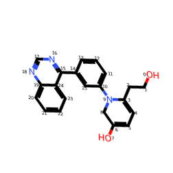 OCCC1=CC=C(O)CN1c1cccc(-c2ncnc3ccccc23)c1